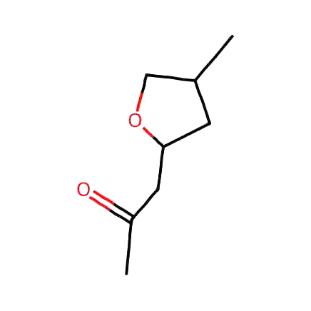 CC(=O)CC1CC(C)CO1